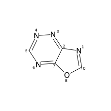 [c]1nc2nncnc2o1